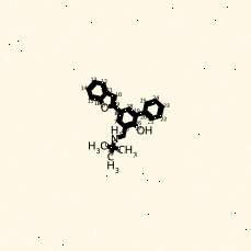 CC(C)(C)NCc1cc(-c2cc3ccccc3o2)cc(-c2ccccc2)c1O